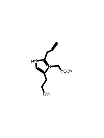 C=CCc1[nH]cc(CCO)[n+]1CC(=O)O